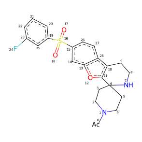 CC(=O)N1CCC2(CC1)NCCc1c2oc2cc(S(=O)(=O)c3cccc(F)c3)ccc12